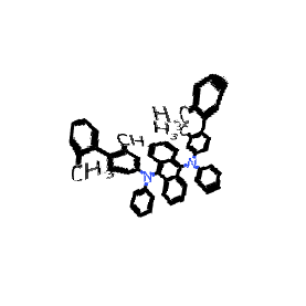 Cc1ccccc1-c1ccc(N(c2ccccc2)c2c3ccccc3c(N(c3ccccc3)c3ccc(-c4ccccc4C)c(C)c3)c3ccccc23)cc1C